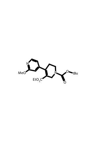 CCOC(=O)C1=C(c2ccnc(OC)c2)CCN(C(=O)OC(C)(C)C)C1